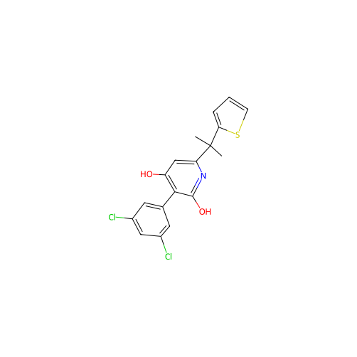 CC(C)(c1cc(O)c(-c2cc(Cl)cc(Cl)c2)c(O)n1)c1cccs1